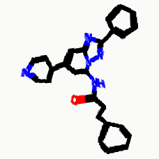 O=C(CCc1ccccc1)Nc1cc(-c2ccncc2)cc2nc(-c3ccccc3)nn12